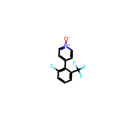 [O-][n+]1ccc(-c2c(F)cccc2C(F)(F)F)cc1